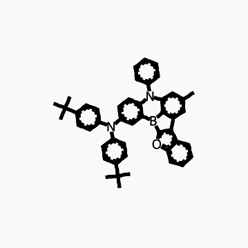 Cc1cc2c3c(c1)N(c1ccccc1)c1ccc(N(c4ccc(C(C)(C)C)cc4)c4ccc(C(C)(C)C)cc4)cc1B3c1oc3ccccc3c1-2